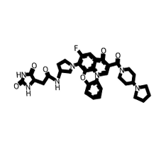 O=C(CC1NC(=O)NC1=O)NC1CCN(c2c(F)cc3c(=O)c(C(=O)N4CCC(N5CCCC5)CC4)cn4c3c2Oc2ccccc2-4)C1